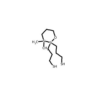 C[Si]1(C)CCCO[Si]1(CCCS)CCCS